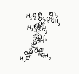 C=CC(=C)OCC(COC(=O)C=C)COC(C)(C)CCOC(C)(S)COCC(COC(=O)C=C)COC(=O)C=C